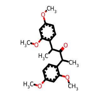 COc1ccc(C(C)C(=O)C(C)c2ccc(OC)cc2OC)c(OC)c1